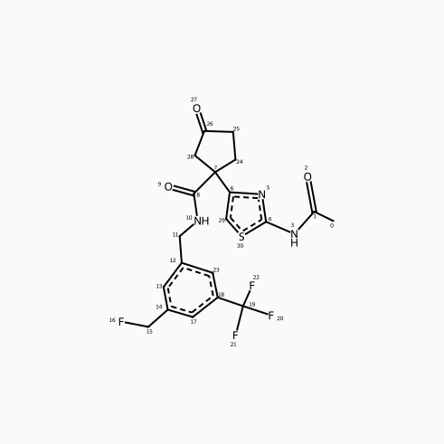 CC(=O)Nc1nc(C2(C(=O)NCc3cc(CF)cc(C(F)(F)F)c3)CCC(=O)C2)cs1